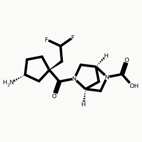 N[C@@H]1CC[C@](CC(F)F)(C(=O)N2C[C@@H]3C[C@H]2CN3C(=O)O)C1